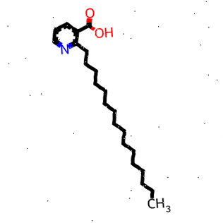 CCCCCCCCCCCCCCCCc1ncccc1C(=O)O